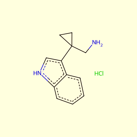 Cl.NCC1(c2c[nH]c3ccccc23)CC1